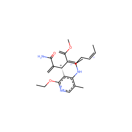 C=C(OC)/C(=C\C/C=C\C)[C@@H](C(=C)C(N)=O)c1c(OCC)ncc(C)c1NCC